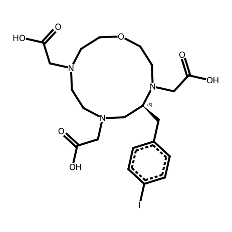 O=C(O)CN1CCOCCN(CC(=O)O)[C@@H](Cc2ccc(I)cc2)CN(CC(=O)O)CC1